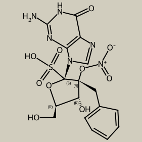 Nc1nc2c(ncn2[C@]2(S(=O)(=O)O)O[C@H](CO)[C@@H](O)[C@@]2(Cc2ccccc2)O[N+](=O)[O-])c(=O)[nH]1